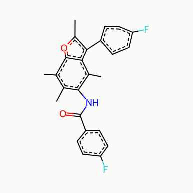 Cc1oc2c(C)c(C)c(NC(=O)c3ccc(F)cc3)c(C)c2c1-c1ccc(F)cc1